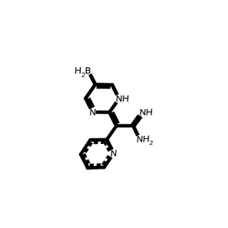 BC1=CN/C(=C(\C(=N)N)c2ccccn2)N=C1